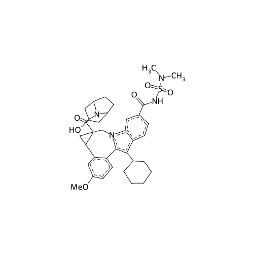 COc1ccc2c(c1)C1CC1(C(=O)N1C3CCC1CC(O)C3)Cn1c-2c(C2CCCCC2)c2ccc(C(=O)NS(=O)(=O)N(C)C)cc21